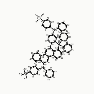 C[Si](C)(C)c1ccc(N(c2ccccc2)c2ccc3c(c2)C(c2ccccc2)(c2ccccc2)c2cccc4c2c-3cc2c3ccccc3c(N(c3ccccc3)c3ccc([Si](C)(C)C)cc3)cc42)cc1